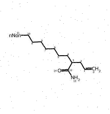 C=CCC(CCCCCCCCCCCCCCCC)C(N)=O